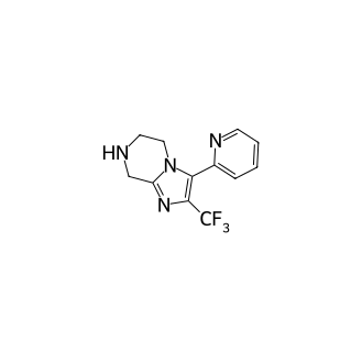 FC(F)(F)c1nc2n(c1-c1ccccn1)CCNC2